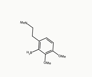 Bc1c(CCNC)ccc(OC)c1OC